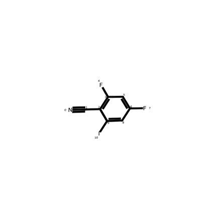 N#Cc1c(F)cc(F)cc1I